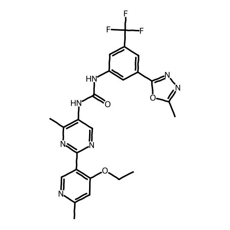 CCOc1cc(C)ncc1-c1ncc(NC(=O)Nc2cc(-c3nnc(C)o3)cc(C(F)(F)F)c2)c(C)n1